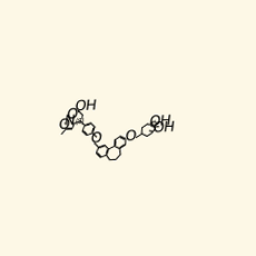 Cc1cc([C@@H](CC(=O)O)c2ccc(OCc3ccc4c(c3)-c3ccc(OCC5CCS(O)(O)CC5)cc3CCC4)cc2)no1